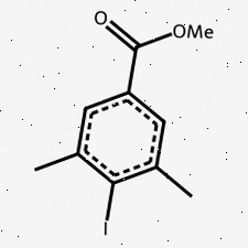 COC(=O)c1cc(C)c(I)c(C)c1